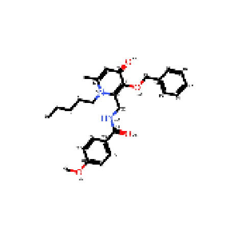 CCCCCn1c(C)cc(=O)c(OCc2ccccc2)c1CNC(=O)c1ccc(OC)cc1